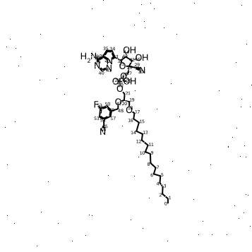 CCCCCCCCCCCCCCCCCCOC[C@H](COP(=O)(O)OC[C@@]1(C#N)O[C@@H](c2ccc3c(N)ncnn23)[C@H](O)[C@@H]1O)OCc1cc(F)cc(C#N)c1